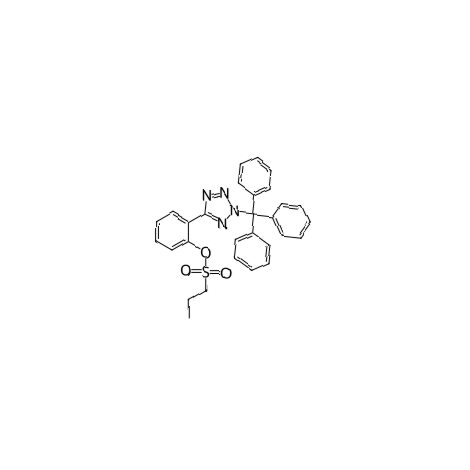 CCCS(=O)(=O)Oc1ccccc1-c1nnn(C(c2ccccc2)(c2ccccc2)c2ccccc2)n1